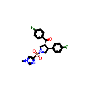 Cn1cnc(S(=O)(=O)N2C[C@H](C(=O)c3ccc(F)cc3)[C@@H](c3ccc(F)cc3)C2)c1